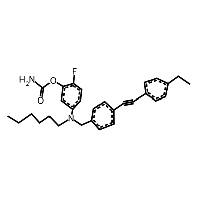 CCCCCCN(Cc1ccc(C#Cc2ccc(CC)cc2)cc1)c1ccc(F)c(OC(N)=O)c1